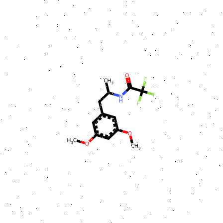 COc1cc(CC(C)NC(=O)C(F)(F)F)cc(OC)c1